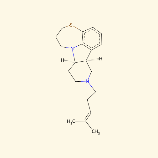 CC(C)=CCCN1CC[C@@H]2[C@H](C1)c1cccc3c1N2CCCS3